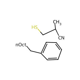 CC(C#N)CS.CCCCCCCCCc1ccccc1